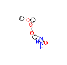 O=C1CN2Cc3cc(OCCCOc4ccccc4OCc4ccccc4)ccc3N=C2N1